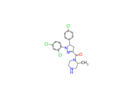 CC1CNCCN1C(=O)C1=NN(c2ccc(Cl)cc2Cl)C(c2ccc(Cl)cc2)C1